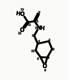 C=C(NCC1CCC2OC2C1)C(=O)O